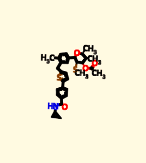 CS[C@H]1C(c2ccc(C)c(Cc3ccc(-c4ccc(C(=O)NC5CC5)cc4)s3)c2)O[C@H](C)[C@@H](C)[C@@H]1OC(C)=O